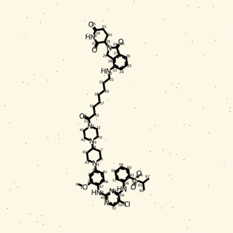 COc1cc(N2CCC(N3CCN(C(=O)CCCCCCCNc4cccc5c4CN(C4CCC(=O)NC4=O)C5=O)CC3)CC2)ccc1Nc1ncc(Cl)c(Nc2ccccc2S(=O)(=O)C(C)C)n1